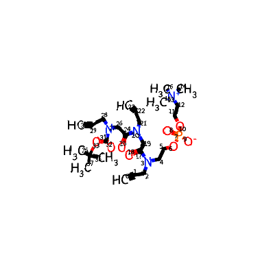 C#CCN(CCOP(=O)([O-])OCC[N+](C)(C)C)C(=O)CN(CC#C)C(=O)CN(CC#C)C(=O)OC(C)(C)C